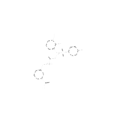 Cc1ccc(S(=O)(=O)N(CC(=O)NCc2cccc(C(=O)O)c2)c2cccc(F)c2F)cc1